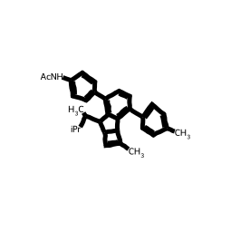 CC(=O)Nc1ccc(-c2ccc(-c3ccc(C)cc3)c3c2C(C(C)C(C)C)C2C=C(C)C32)cc1